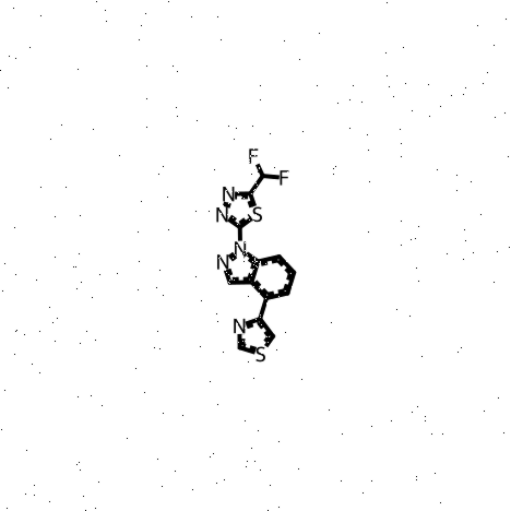 FC(F)c1nnc(-n2ncc3c(-c4cscn4)cccc32)s1